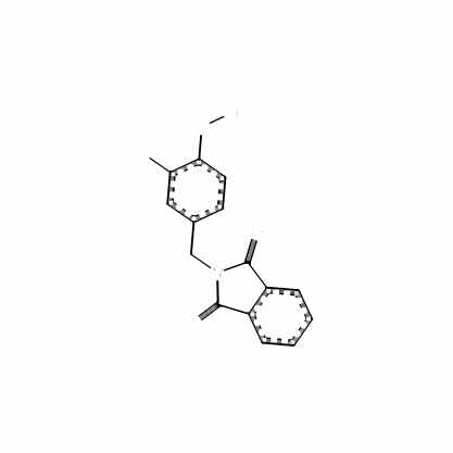 O=C1c2ccccc2C(=O)N1Cc1ccc(OC(F)(F)F)c(F)c1